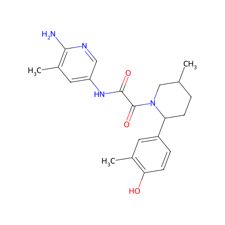 Cc1cc(C2CCC(C)CN2C(=O)C(=O)Nc2cnc(N)c(C)c2)ccc1O